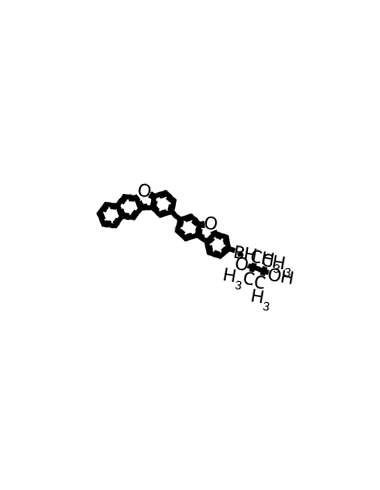 CC(C)(O)C(C)(C)OBc1ccc2c(c1)oc1cc(-c3ccc4oc5cc6ccccc6cc5c4c3)ccc12